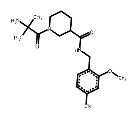 CC(C)(N)C(=O)N1CCCC(C(=O)NCc2ccc(C#N)cc2OC(F)(F)F)C1